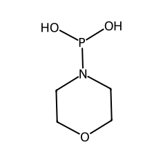 OP(O)N1CCOCC1